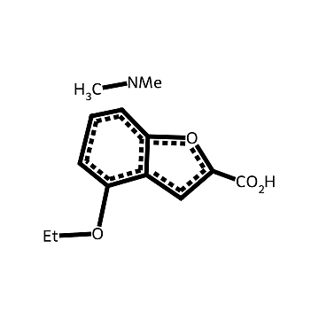 CCOc1cccc2oc(C(=O)O)cc12.CNC